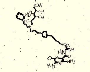 N=C(NCCCCc1ccc(CCCN(CCCc2ccccc2)C[C@H](O)[C@@H](O)[C@H](O)[C@H](O)CO)cc1)NC(=O)c1nc(Cl)c(N)nc1N